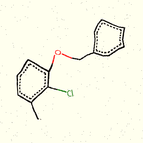 [CH2]c1cccc(OCc2ccccc2)c1Cl